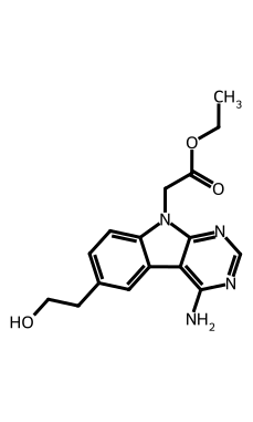 CCOC(=O)Cn1c2ccc(CCO)cc2c2c(N)ncnc21